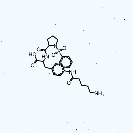 NCCCCC(=O)Nc1ccc(CC(NC(=O)C2CCCN2S(=O)(=O)c2ccccc2)C(=O)O)cc1